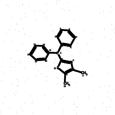 Cc1nc(P(c2ccccc2)c2ccccc2)sc1C